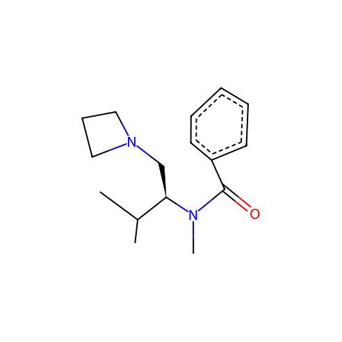 CC(C)[C@@H](CN1CCC1)N(C)C(=O)c1ccccc1